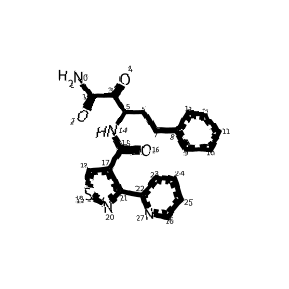 NC(=O)C(=O)C(CCc1ccccc1)NC(=O)c1csnc1-c1ccccn1